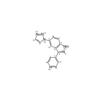 c1cc(-c2n[nH]c3ccc(-n4ccnn4)cc23)ccn1